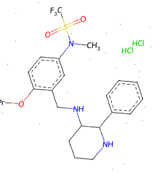 CC(C)Oc1ccc(N(C)S(=O)(=O)C(F)(F)F)cc1CNC1CCCNC1c1ccccc1.Cl.Cl